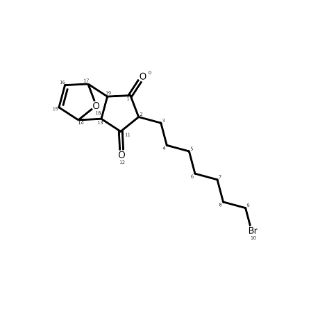 O=C1C(CCCCCCCBr)C(=O)C2C3C=CC(O3)C12